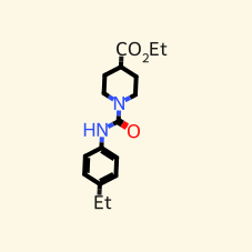 CCOC(=O)C1CCN(C(=O)Nc2ccc(CC)cc2)CC1